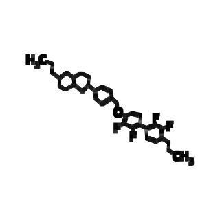 CCCc1ccc(-c2ccc(OCc3ccc(C4CCC5CC(CCC)CCC5C4)cc3)c(F)c2F)c(F)c1F